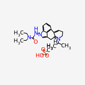 CCN(CC)C(=O)Nn1cc2c3c(cccc31)C1=CCCN(C(C)C)[C@@H]1C2.CS(=O)(=O)O